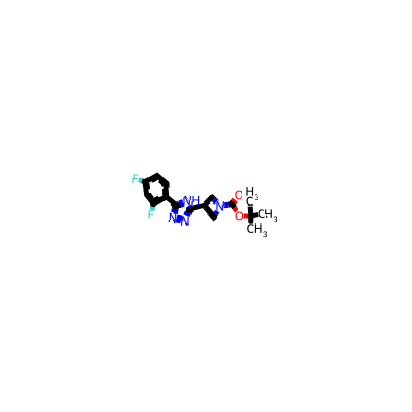 CC(C)(C)OC(=O)N1CC(c2nnc(-c3ccc(F)cc3F)[nH]2)C1